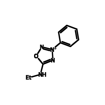 CCNc1n[n+](-c2ccccc2)no1